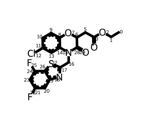 CCOC(=O)CC1Oc2ccc(Cl)cc2N(Cc2nc3cc(F)cc(F)c3s2)C1=O